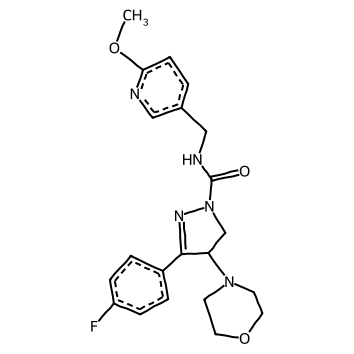 COc1ccc(CNC(=O)N2CC(N3CCOCC3)C(c3ccc(F)cc3)=N2)cn1